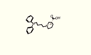 O=C(O)[C@@H]1CCCN(CCCCN(c2ccccc2)c2ccccc2)C1